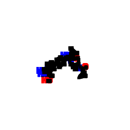 O=C(C1CC1)N1CC(CN2C(=O)C3(CC3)NC2C2C=CC(c3ccc4c(c3)C(CO)NN4)=CC2)C1